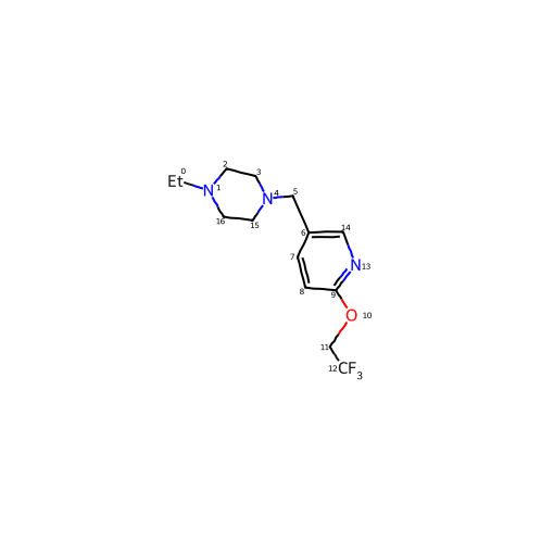 CCN1CCN(Cc2ccc(OCC(F)(F)F)nc2)CC1